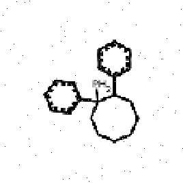 PC1(c2ccccc2)CCCCCCC1c1ccccc1